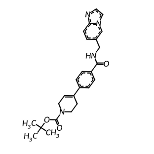 CC(C)(C)OC(=O)N1CC=C(c2ccc(C(=O)NCc3ccc4nccn4c3)cc2)CC1